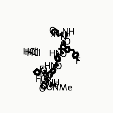 CNC(C)C(=O)NC(C(=O)N1Cc2ccc(NC(=O)c3ccc(NC(=O)C4(C)CN(C(=O)CN5C[C@@H](C)NC[C@@H]5CN5CCOC[C@H]5C)c5cc(Cc6ccc(F)cc6)ccc54)cc3)cc2[C@H]1C(=O)Nc1c(F)cccc1F)C1CCOCC1.Cl.Cl.Cl